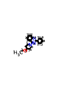 CCOC1CCN(c2nc(-c3ccccc3)nc3ccccc23)CC1